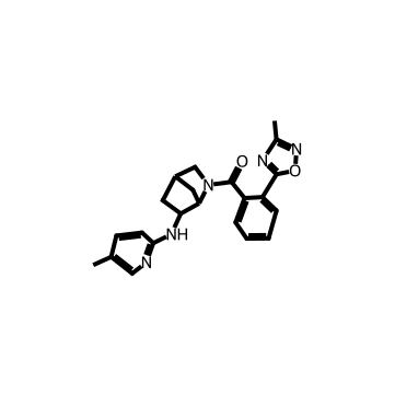 Cc1ccc(NC2CC3CC2N(C(=O)c2ccccc2-c2nc(C)no2)C3)nc1